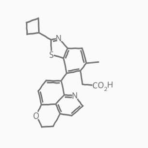 Cc1cc2nc(C3CCC3)sc2c(-c2ccc3c4c(ccnc24)CCO3)c1CC(=O)O